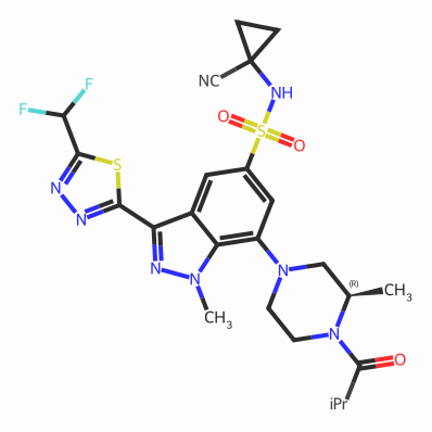 CC(C)C(=O)N1CCN(c2cc(S(=O)(=O)NC3(C#N)CC3)cc3c(-c4nnc(C(F)F)s4)nn(C)c23)C[C@H]1C